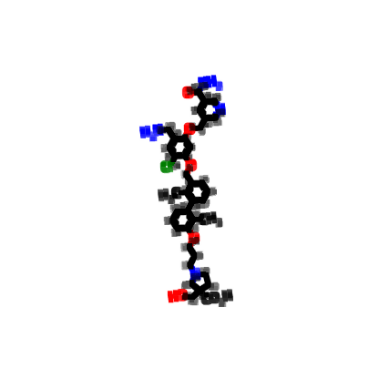 Cc1c(COc2cc(OCc3cncc(C(N)=O)c3)c(CN)cc2Cl)cccc1-c1cccc(OCCCN2CCC(CO)(C(=O)O)C2)c1C